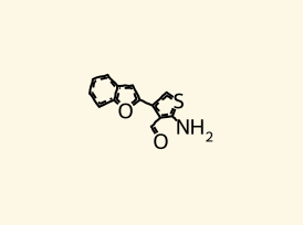 Nc1scc(-c2cc3ccccc3o2)c1C=O